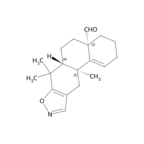 CC1(C)c2oncc2C[C@]2(C)C3=CCCC[C@]3(C=O)CC[C@@H]12